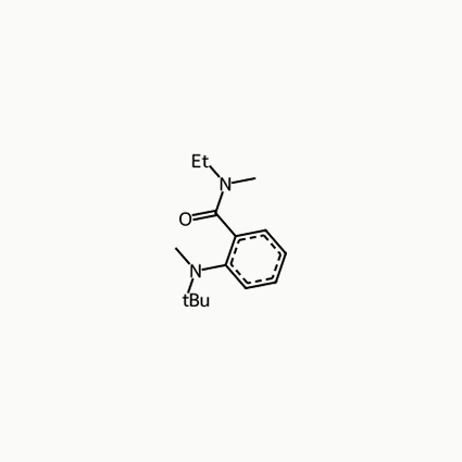 CCN(C)C(=O)c1ccccc1N(C)C(C)(C)C